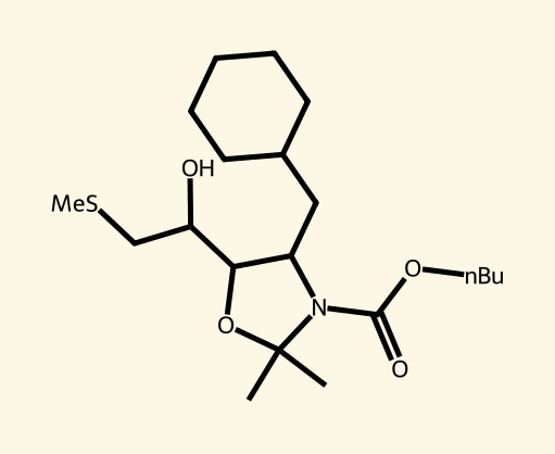 CCCCOC(=O)N1C(CC2CCCCC2)C(C(O)CSC)OC1(C)C